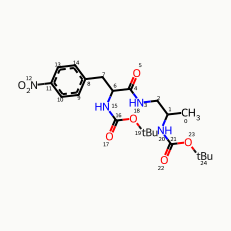 CC(CNC(=O)C(Cc1ccc([N+](=O)[O-])cc1)NC(=O)OC(C)(C)C)NC(=O)OC(C)(C)C